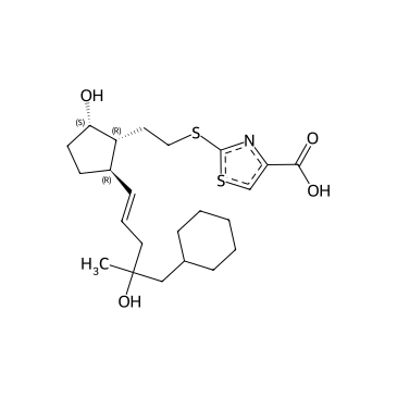 CC(O)(CC=C[C@H]1CC[C@H](O)[C@@H]1CCSc1nc(C(=O)O)cs1)CC1CCCCC1